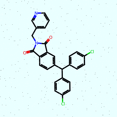 O=C1c2ccc(C(c3ccc(Cl)cc3)c3ccc(Cl)cc3)cc2C(=O)N1Cc1cccnc1